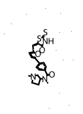 CN1CCC(N(C)C(=O)c2ccc(-c3ccc(C=C4SC(=S)NC4=O)o3)cc2)C1